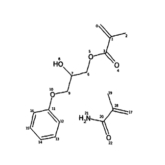 C=C(C)C(=O)OCC(O)COc1ccccc1.C=C(C)C(N)=O